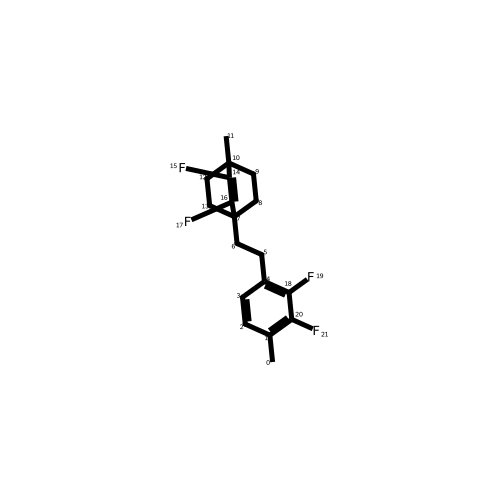 Cc1ccc(CCC23CCC(C)(CC2)C(F)=C3F)c(F)c1F